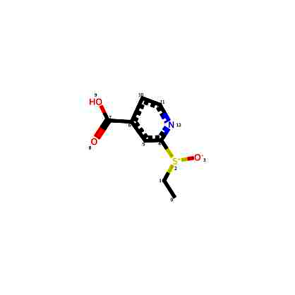 CC[S+]([O-])c1cc(C(=O)O)ccn1